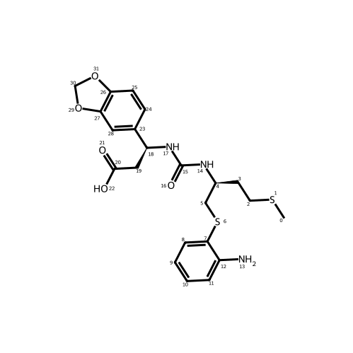 CSCC[C@@H](CSc1ccccc1N)NC(=O)N[C@@H](CC(=O)O)c1ccc2c(c1)OCO2